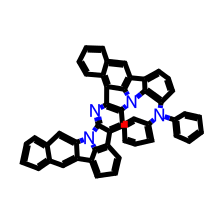 c1ccc(N(c2ccccc2)c2cccc3c4cc5ccccc5c5c6nc7c(cc6n(c23)c45)c2cccc3c4cc5ccccc5cc4n7c32)cc1